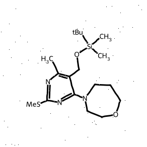 CSc1nc(C)c(CO[Si](C)(C)C(C)(C)C)c(N2CCCOCC2)n1